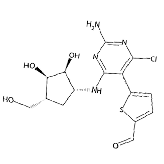 Nc1nc(Cl)c(-c2ccc(C=O)s2)c(N[C@@H]2C[C@H](CO)[C@@H](O)[C@H]2O)n1